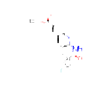 CC(C)(C)OC(=O)C=Cc1cnc2c(c1)CC1(CC(F)(F)C1)C(=O)N2